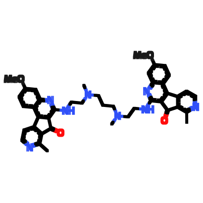 COc1ccc2c3c(c(NCCN(C)CCCN(C)CCNc4nc5cc(OC)ccc5c5c4C(=O)c4c-5ccnc4C)nc2c1)C(=O)c1c-3ccnc1C